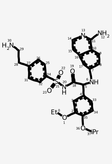 CCOc1cc(C(Nc2ccc3c(N)nccc3c2)C(=O)NS(=O)(=O)c2ccc(CCN)cc2)ccc1OC(C)C